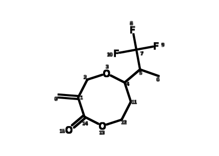 C=C1COC(C(C)C(F)(F)F)CCOC1=O